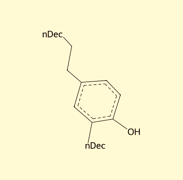 CCCCCCCCCCCCc1ccc(O)c(CCCCCCCCCC)c1